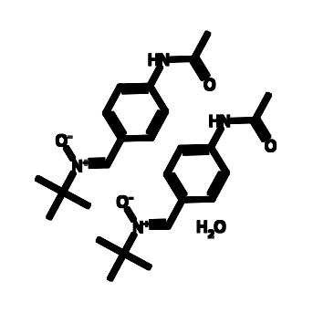 CC(=O)Nc1ccc(C=[N+]([O-])C(C)(C)C)cc1.CC(=O)Nc1ccc(C=[N+]([O-])C(C)(C)C)cc1.O